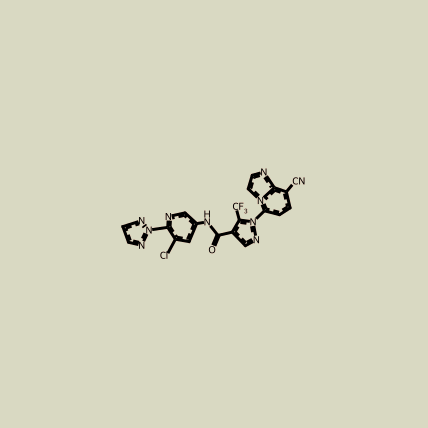 N#Cc1ccc(-n2ncc(C(=O)Nc3cnc(-n4nccn4)c(Cl)c3)c2C(F)(F)F)n2ccnc12